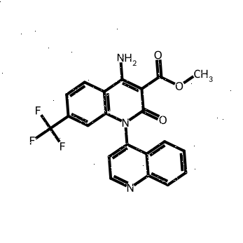 COC(=O)c1c(N)c2ccc(C(F)(F)F)cc2n(-c2ccnc3ccccc23)c1=O